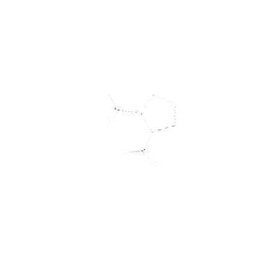 CC(=O)C1CCCN1C(C)=O